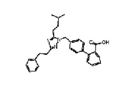 CC(C)CCc1nc(CCc2ccccc2)nn1Cc1ccc(-c2ccccc2C(=O)O)cc1